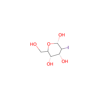 OCC1O[C@H](O)C(I)[C@H](O)[C@@H]1O